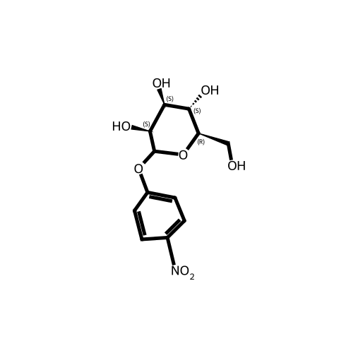 O=[N+]([O-])c1ccc(OC2O[C@H](CO)[C@@H](O)[C@H](O)[C@@H]2O)cc1